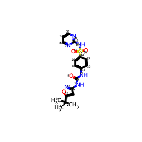 CC(C)(C)c1cc(NC(=O)Nc2ccc(S(=O)(=O)Nc3ncccn3)cc2)no1